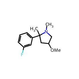 COC1CN(C)C(C)(c2cccc(F)c2)C1